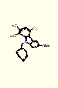 COc1ccc2c(c1)c1c(C)cc(OC(C)=O)c(SC)c1n2Cc1ccccc1